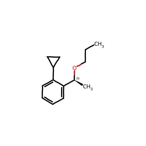 CCCO[C@@H](C)c1ccccc1C1CC1